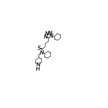 S=C(CCCc1nnnn1C1CCCCC1)N(CC1CCNCC1)C1CCCCC1